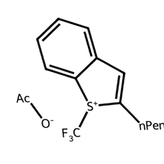 CC(=O)[O-].CCCCCc1cc2ccccc2[s+]1C(F)(F)F